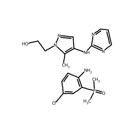 CP(C)(=O)c1cc(Cl)ccc1N.Cc1c(Nc2ncccn2)cnn1CCO